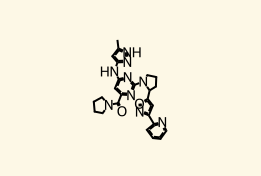 Cc1cc(Nc2cc(C(=O)N3CCCC3)nc(N3CCCC3c3cc(-c4ccccn4)no3)n2)n[nH]1